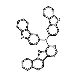 c1ccc2c(c1)ccc1c3ccnc(N(c4ccc5oc6ccccc6c5c4)c4ccc5sc6ccccc6c5c4)c3sc21